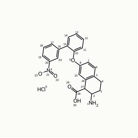 Cl.NC1CCc2ccc(Oc3ccccc3-c3cccc([N+](=O)[O-])c3)cc2C1C(=O)O